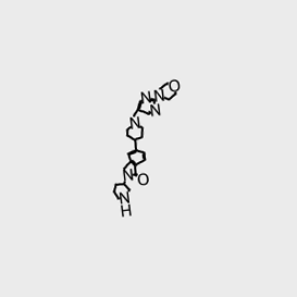 O=C1c2ccc(C3CCN(Cc4cnc(N5CCOCC5)nc4)CC3)cc2CN1C1CCCNC1